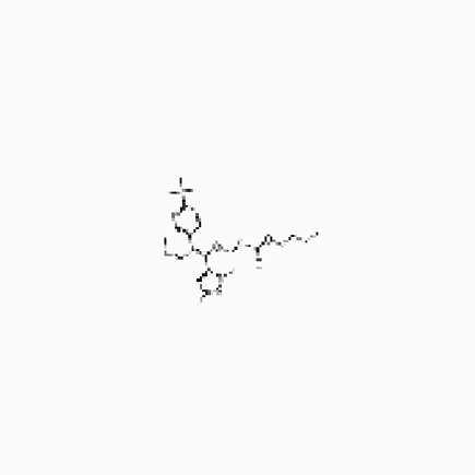 CCCCOC(=O)OCO/C(=C(/C=N\C)c1ccc(C(C)(C)C)cc1)c1cc(C)nn1C